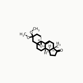 COC1(OC)CC[C@]23OC2(CC[C@@H]2C3=CC[C@]3(C)C(=O)CC[C@@H]23)C1